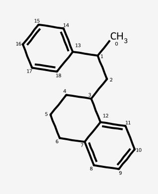 CC(CC1CCCc2ccccc21)c1ccccc1